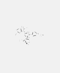 CCc1nc2ccc(F)cc2n1-c1cnnc(-c2ccc(OC(F)F)cc2)n1.NN1C=CC=NN1